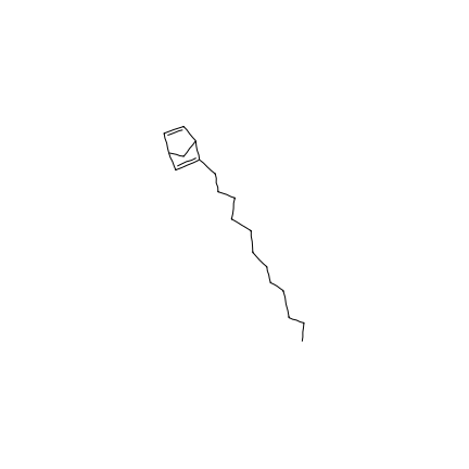 CCCCCCCCCCCCC1=CC2C=CC1C2